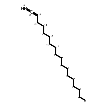 CCCCCCCCCCCCCCCCC=C=N